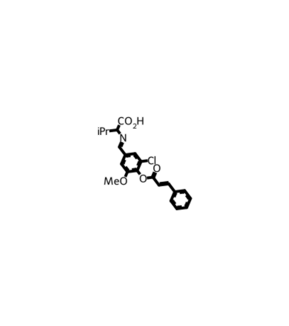 COc1cc(/C=N/C(C(=O)O)C(C)C)cc(Cl)c1OC(=O)C=Cc1ccccc1